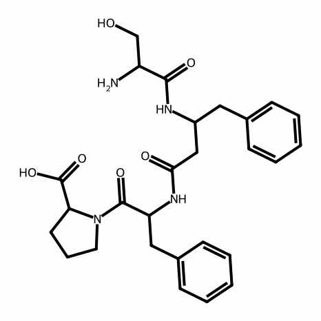 NC(CO)C(=O)NC(CC(=O)NC(Cc1ccccc1)C(=O)N1CCCC1C(=O)O)Cc1ccccc1